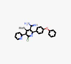 CNc1c(C(=N)N)c(-c2ccc(Oc3ccccc3)cc2)nc(Cl)c1-c1ccccn1